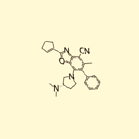 Cc1c(-c2ccccc2)c(N2CC[C@H](N(C)C)C2)c2oc(C3=CCCC3)nc2c1C#N